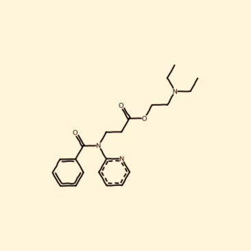 CCN(CC)CCOC(=O)CCN(C(=O)C1=CC=C=C=C1)c1ccccn1